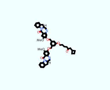 COc1cc2c(cc1OCc1cc(COc3cc4c(cc3OC)C(=O)N3c5ccccc5C[C@H]3C=N4)cc(OCCCCC(=O)CC3CCC3)c1)N=C[C@@H]1Cc3ccccc3N1C2=O